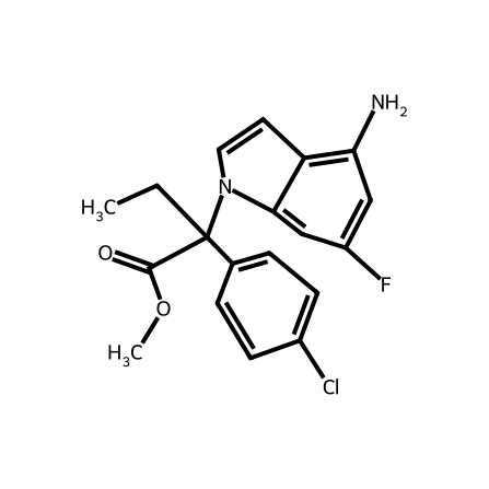 CCC(C(=O)OC)(c1ccc(Cl)cc1)n1ccc2c(N)cc(F)cc21